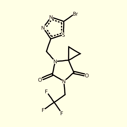 O=C1N(CC(F)(F)F)C(=O)C2(CC2)N1Cc1nnc(Br)s1